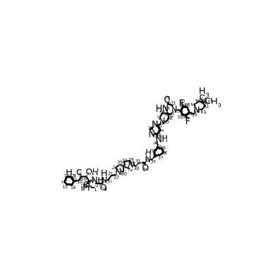 CC(C)C[C@H](NC(=O)[C@@H](O)[C@H](C)Cc1ccccc1)C(=O)NCCCN1CC[C@]2(CCN(CCC(=O)NCc3cccc(CNc4cc(N5CCC6(CC5)CN(c5cc(F)c(CN7CCC(C)(C)CC7)cc5F)CC(=O)N6)ncn4)c3)C2)C1